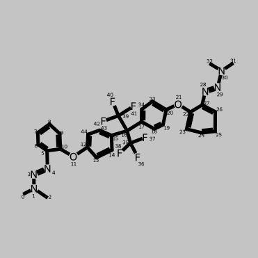 CN(C)N=Nc1ccccc1Oc1ccc(C(c2ccc(Oc3ccccc3N=NN(C)C)cc2)(C(F)(F)F)C(F)(F)F)cc1